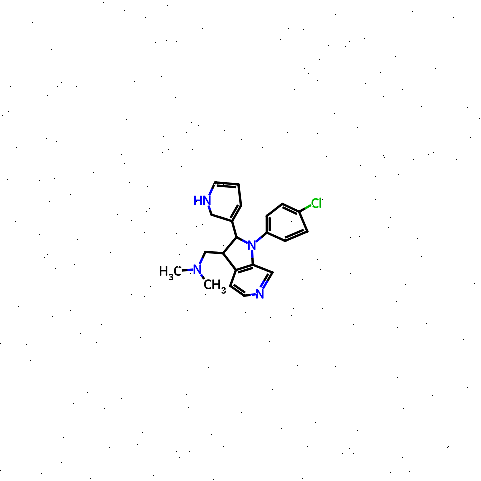 CN(C)CC1c2ccncc2N(c2ccc(Cl)cc2)C1C1=CC=CNC1